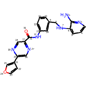 Nc1ncccc1NCc1cccc(NC(=O)c2cnc(-c3ccoc3)cn2)c1